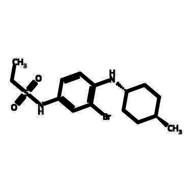 CCS(=O)(=O)Nc1ccc(N[C@H]2CC[C@H](C)CC2)c(Br)c1